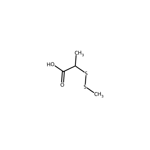 CSSC(C)C(=O)O